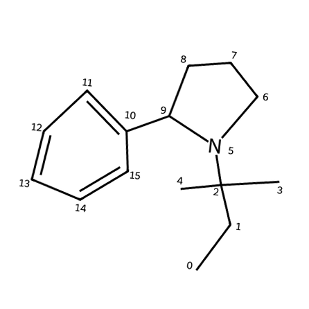 CCC(C)(C)N1CCCC1c1ccccc1